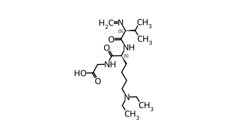 C=N[C@H](C(=O)N[C@@H](CCCCN(CC)CC)C(=O)NCC(=O)O)C(C)C